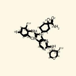 CC1(C(N)=O)CCC(n2c(Nc3c(F)cc(F)cc3Cl)nc3cnc(N[C@H]4CCOC[C@H]4F)nc32)CC1